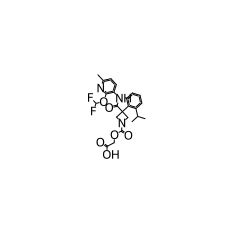 Cc1ccc(NC(=O)C2(c3ccccc3C(C)C)CN(C(=O)OCC(=O)O)C2)c(OC(F)F)n1